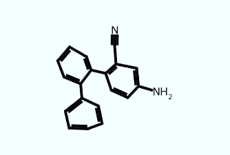 N#Cc1cc(N)ccc1-c1ccccc1-c1ccccc1